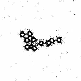 c1ccc(-c2ccc3cc(-c4ccc(N(c5ccc(-c6ccccc6-c6ccccc6-c6ccccc6)cc5)c5cccc6c5sc5ccccc56)cc4)ccc3c2)cc1